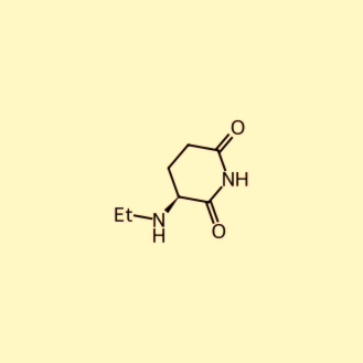 CCN[C@H]1CCC(=O)NC1=O